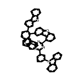 c1ccc(-c2nc(-c3cccc(-n4c5ccccc5c5ccccc54)c3)nc(-c3cccc4oc5ccc(-c6c(-c7ccc8c(c7)sc7ccccc78)ccc7oc8ccccc8c67)cc5c34)n2)cc1